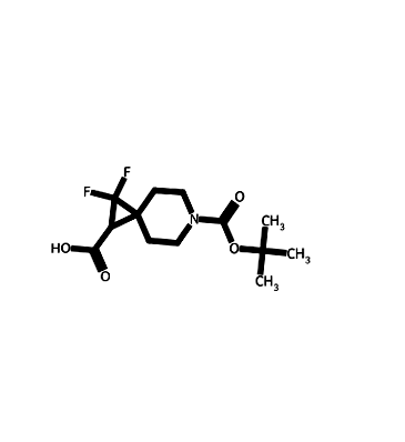 CC(C)(C)OC(=O)N1CCC2(CC1)C(C(=O)O)C2(F)F